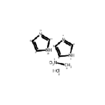 C[N+](=O)[O-].Cl.c1c[nH]cn1.c1c[nH]cn1